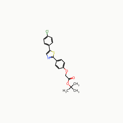 CC(C)(C)OC(=O)COc1ccc(-c2ncc(-c3ccc(Cl)cc3)s2)cc1